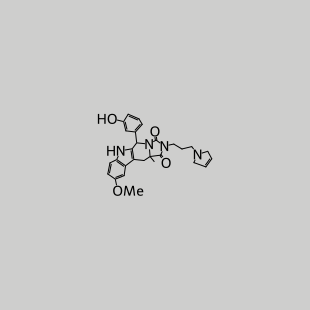 COc1ccc2[nH]c3c(c2c1)CC1(C)C(=O)N(CCCN2CC=CC2)C(=O)N1C3c1cccc(O)c1